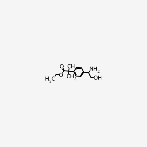 CCOC(=O)C(C)(C)c1ccc(C(N)CO)cc1